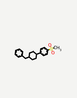 CS(=O)(=O)c1ccc(C2[CH]CC(Cc3ccccc3)CC2)cc1